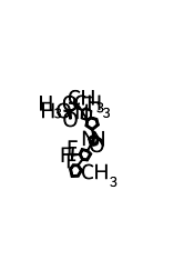 Cc1ccccc1-c1ccc(-c2nc(-c3ccc4c(c3)CN(C(C(=O)O)C(C)(C)C)CC4)no2)cc1C(F)(F)F